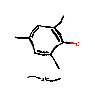 Cc1cc(C)c([O-])c(C)c1.[CH3][Al+][CH3]